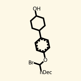 CCCCCCCCCCC(Br)Oc1ccc(C2CCC(O)CC2)cc1